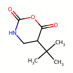 CC(C)(C)C1CNC(=O)OC1=O